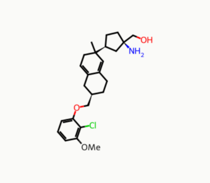 COc1cccc(OC[C@@H]2CCC3=CC(C)([C@H]4CC[C@](N)(CO)C4)CC=C3C2)c1Cl